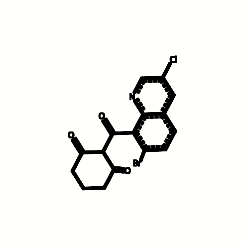 O=C1CCCC(=O)C1C(=O)c1c(Br)ccc2cc(Cl)cnc12